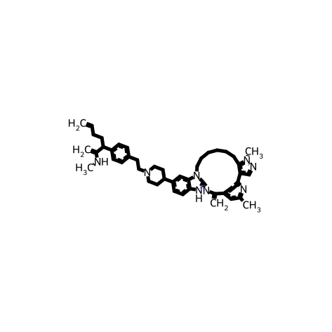 C=CCCC(C(=C)NC)c1ccc(CCN2CCC(c3ccc4c(c3)N3CCCCCCc5c(cnn5C)-c5cc(cc(C)n5)C(=C)/N=C/3N4)CC2)cc1